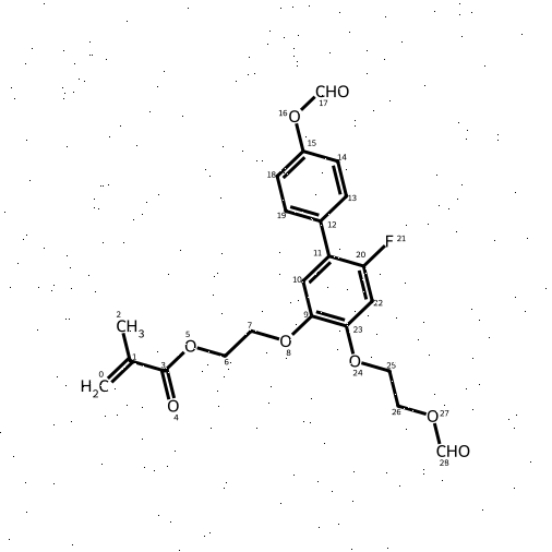 C=C(C)C(=O)OCCOc1cc(-c2ccc(OC=O)cc2)c(F)cc1OCCOC=O